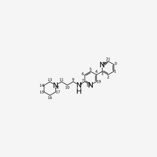 c1ccc(-c2ccc(NCCCN3CCCCC3)nc2)nc1